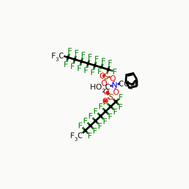 C1=CC2CCC1C2.O=C(O)[N+](OS(=O)(=O)C(F)(F)C(F)(F)C(F)(F)C(F)(F)C(F)(F)C(F)(F)C(F)(F)C(F)(F)F)(OS(=O)(=O)C(F)(F)C(F)(F)C(F)(F)C(F)(F)C(F)(F)C(F)(F)C(F)(F)C(F)(F)F)C(=O)O